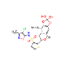 COc1c(CC(=O)c2sccc2S(=O)(=O)Nc2onc(C)c2Cl)c(C#N)cc2c1OC(O)(O)O2